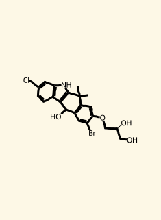 CC1(C)c2cc(OC[C@H](O)CO)c(Br)cc2C(O)c2c1[nH]c1cc(Cl)ccc21